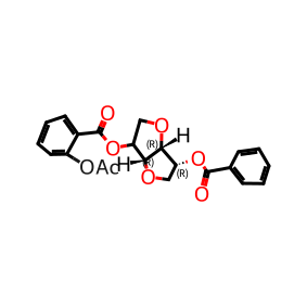 CC(=O)Oc1ccccc1C(=O)OC1CO[C@H]2[C@@H]1OC[C@H]2OC(=O)c1ccccc1